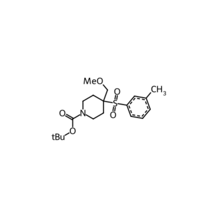 COCC1(S(=O)(=O)c2cccc(C)c2)CCN(C(=O)OC(C)(C)C)CC1